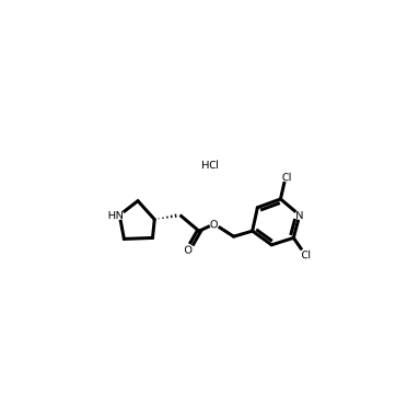 Cl.O=C(C[C@@H]1CCNC1)OCc1cc(Cl)nc(Cl)c1